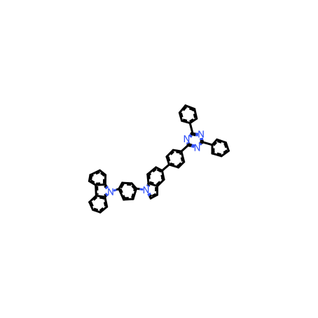 c1ccc(-c2nc(-c3ccccc3)nc(-c3ccc(-c4ccc5c(ccn5-c5ccc(-n6c7ccccc7c7ccccc76)cc5)c4)cc3)n2)cc1